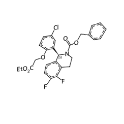 CCOC(=O)COc1ccc(Cl)cc1[C@@H]1c2ccc(F)c(F)c2CCN1C(=O)OCc1ccccc1